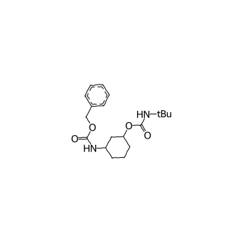 CC(C)(C)NC(=O)OC1CCCC(NC(=O)OCc2ccccc2)C1